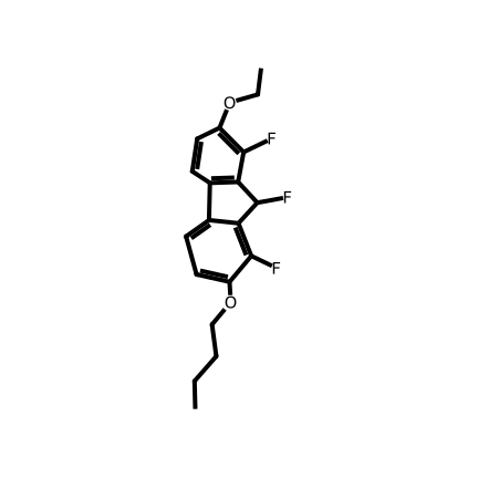 CCCCOc1ccc2c(c1F)C(F)c1c-2ccc(OCC)c1F